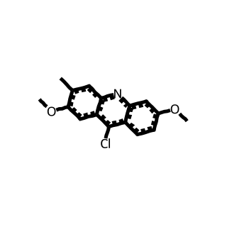 COc1ccc2c(Cl)c3cc(OC)c(C)cc3nc2c1